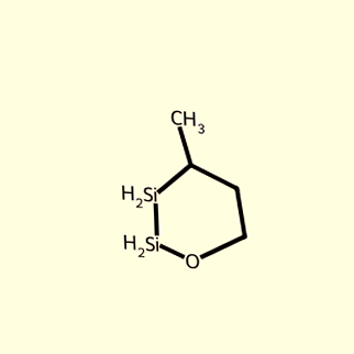 CC1CCO[SiH2][SiH2]1